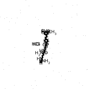 Cl.Cl.[H]/N=C(\N)NCCCC(N)C(=O)NCCOC(=O)Oc1ccc(C=Cc2cc(OC)cc(OC)c2)cc1